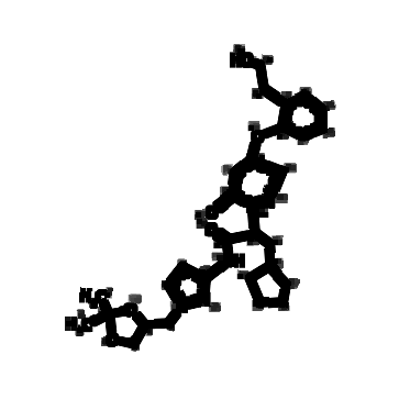 CC1(C)OCC(Cn2ccc(NC(=O)C(CC3CCCC3)n3ncc(Oc4ccccc4CCO)cc3=O)n2)O1